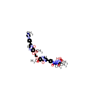 COc1cc2c(cc1OCCCOc1cc3c(cc1OC)C(=O)N1C=C(c4ccc(N5CCN(C)CC5)cc4)C[C@H]1C=N3)N=C[C@@H]1CC(c3ccc(NC(=O)[C@H](C)NC(=O)[C@@H](NC(=O)O)C(C)C)cc3)=CN1C2=O